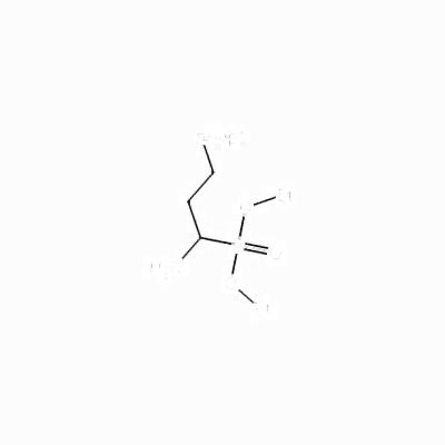 CCCCCCCCCC(C)P(=O)(OCC)OCC